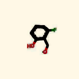 [O]Cc1c(O)cccc1F